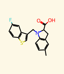 Cc1ccc2c(c1)CC(C(=O)O)N2Cc1csc2ccc(F)cc12